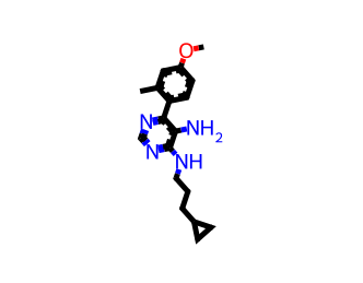 COc1ccc(-c2ncnc(NCCCC3CC3)c2N)c(C)c1